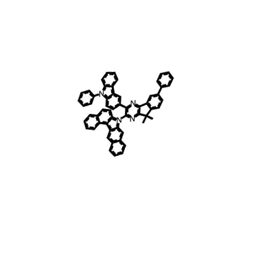 CC1(C)c2ccc(-c3ccccc3)cc2-c2nc(-c3ccc4c(c3)c3ccccc3n4-c3ccccc3)c(-n3c4cc5ccccc5cc4c4c5ccccc5ccc43)nc21